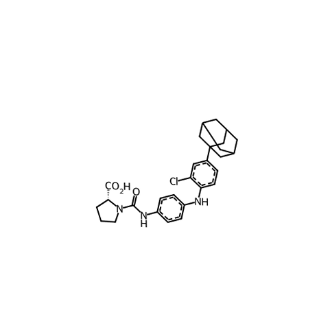 O=C(O)[C@H]1CCCN1C(=O)Nc1ccc(Nc2ccc(C34CC5CC(CC(C5)C3)C4)cc2Cl)cc1